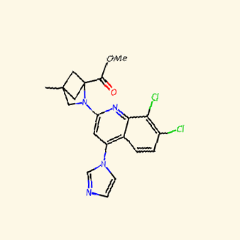 COC(=O)C12CC(C)(CN1c1cc(-n3ccnc3)c3ccc(Cl)c(Cl)c3n1)C2